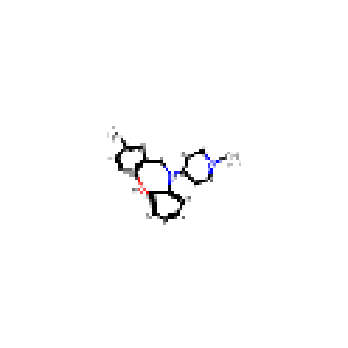 CN1CCC(N2Cc3cc(C(F)(F)F)ccc3Oc3ccccc32)CC1